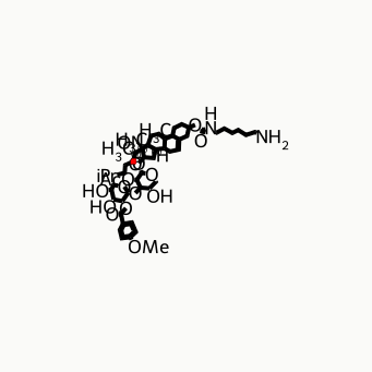 COc1ccc(C(=O)OC2C(OC3C(O)COC(OC4C[C@H]5C6CC=C7CC(OC(=O)NCCCCCCN)CCC7(C)C6CCC5(C)[C@@]4(N=O)[C@H](C)C(=O)CCC(C)C)C3OC(C)=O)OCC(O)C2O)cc1